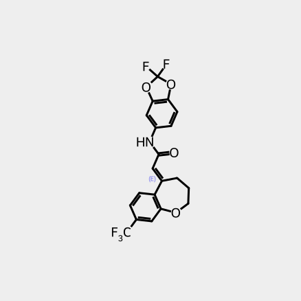 O=C(/C=C1\CCCOc2cc(C(F)(F)F)ccc21)Nc1ccc2c(c1)OC(F)(F)O2